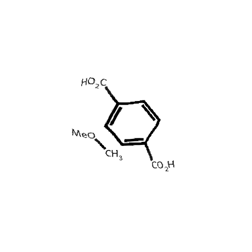 COC.O=C(O)c1ccc(C(=O)O)cc1